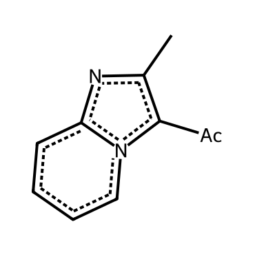 CC(=O)c1c(C)nc2ccccn12